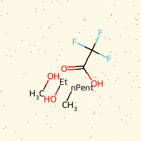 CCCCCC.CCO.CO.O=C(O)C(F)(F)F